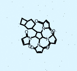 O=C1C=CC(=O)N1C1C(C2CCC3CCC3C2)C(N2C(=O)C=CC2=O)C(N2C(=O)C=CC2=O)C1N1C(=O)C=CC1=O